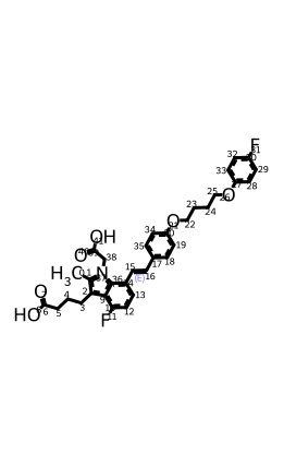 Cc1c(CCCC(=O)O)c2c(F)ccc(/C=C/c3ccc(OCCCCOc4ccc(F)cc4)cc3)c2n1CC(=O)O